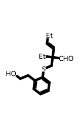 CCC=CC(C=O)(CC)CSc1ccccc1CCO